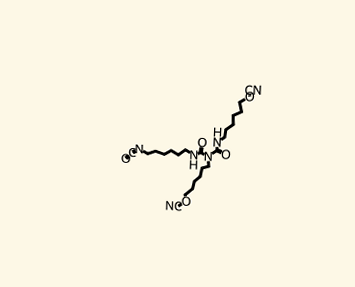 N#COCCCCCCNC(=O)N(CCCCCCOC#N)C(=O)NCCCCCCN=C=O